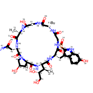 CC[C@H](C)[C@@H]1NC(=O)CNC(=O)[C@H](Cc2c([S+]=O)[nH]c3cc(O)ccc23)NC(=O)[C@H]([C@@H](C)[C@@H](O)CO)NC(=O)[C@@H]2C[C@@H](O)CN2C(=O)[C@H](CC(N)=O)NC(=O)[C@H](C)NC(O)CNC1=O